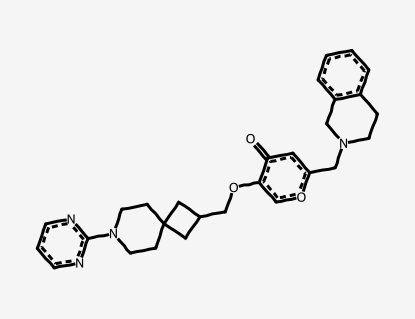 O=c1cc(CN2CCc3ccccc3C2)occ1OCC1CC2(CCN(c3ncccn3)CC2)C1